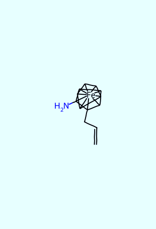 C=CC[C]12[CH]3[CH]4[CH]5[C]1(N)[Fe]45321678[CH]2[CH]1[CH]6[CH]7[CH]28